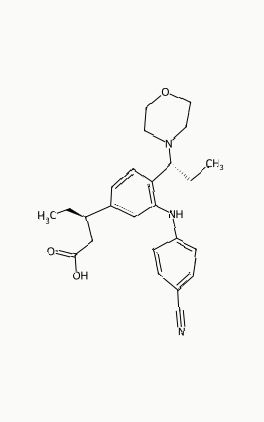 CC[C@H](CC(=O)O)c1ccc([C@@H](CC)N2CCOCC2)c(Nc2ccc(C#N)cc2)c1